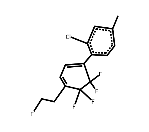 Cc1ccc(C2=CC=C(CCF)C(F)(F)C2(F)F)c(Cl)c1